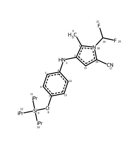 Cc1c(Nc2ccc(O[Si](C(C)C)(C(C)C)C(C)C)cc2)cc(C#N)n1C(F)F